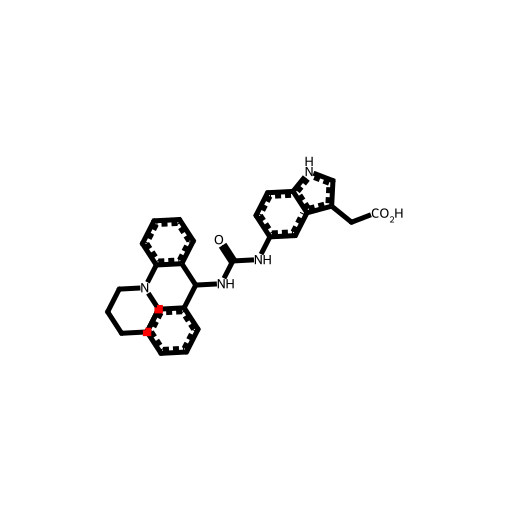 O=C(O)Cc1c[nH]c2ccc(NC(=O)NC(c3ccccc3)c3ccccc3N3CCCCC3)cc12